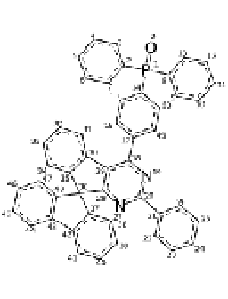 O=P(c1ccccc1)(c1ccccc1)c1ccc(-c2nc(-c3ccccc3)nc3c2-c2ccccc2C32c3ccccc3-c3ccccc32)cc1